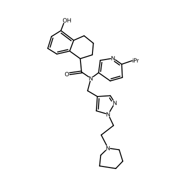 CC(C)c1ccc(N(Cc2cnn(CCN3CCCCC3)c2)C(=O)C2CCCc3c(O)cccc32)cn1